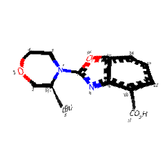 CC(C)(C)[C@H]1COCCN1c1nc2c(C(=O)O)cccc2o1